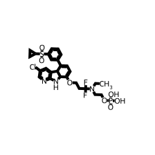 CCN(CCOP(=O)(O)O)C(F)(F)CCOC1=CC=C(c2cccc(S(=O)(=O)C3CC3)c2)C2c3cc(Cl)cnc3NC12